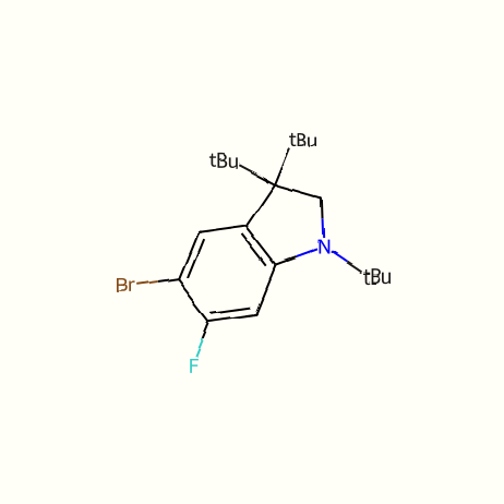 CC(C)(C)N1CC(C(C)(C)C)(C(C)(C)C)c2cc(Br)c(F)cc21